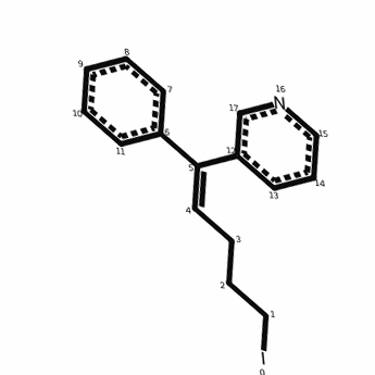 ICCCC=C(c1ccccc1)c1cccnc1